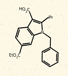 CCOC(=O)c1ccc2c(C(=O)O)c(C(C)C)n(Cc3ccccc3)c2c1